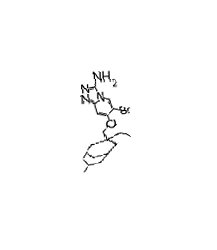 CCC1(COc2cc3nnc(N)n3cc2Br)CC2CC(C)CC(C2)C1